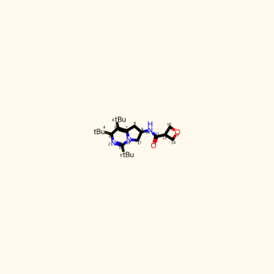 CC(C)(C)C1=NC(C(C)(C)C)C(C(C)(C)C)=C2CC(NC(=O)C3COC3)CN12